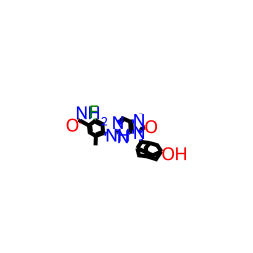 Cc1cc(C(N)=O)c(F)cc1Nc1ncc2c(n1)n(C1C3CC4CC1CC(O)(C4)C3)c(=O)n2C